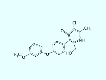 Cc1[nH]c(CO)c(-c2ccc(Oc3cccc(OC(F)(F)F)c3)cc2)c(=O)c1Cl